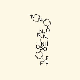 CCn1c(Oc2cccc(N3CCN(C)CC3)c2)nnc1[C@@H](C)NS(=O)(=O)c1cccc(C(F)(F)F)c1